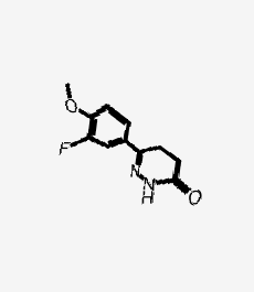 COc1ccc(C2=NNC(=O)CC2)cc1F